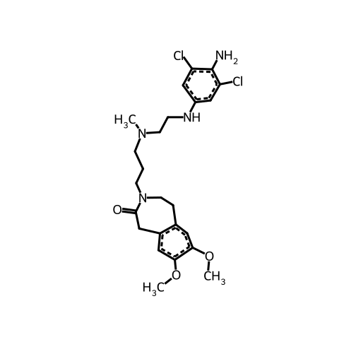 COc1cc2c(cc1OC)CC(=O)N(CCCN(C)CCNc1cc(Cl)c(N)c(Cl)c1)CC2